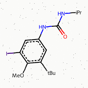 COc1c(I)cc(NC(=O)NC(C)C)cc1C(C)(C)C